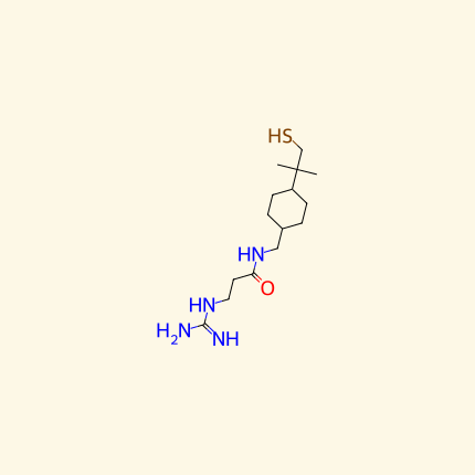 CC(C)(CS)C1CCC(CNC(=O)CCNC(=N)N)CC1